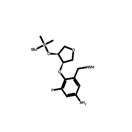 CNCc1cc(N)cc(F)c1O[C@@H]1COC[C@@H]1O[Si](C)(C)C(C)(C)C